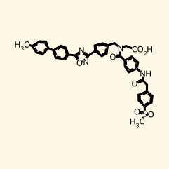 Cc1ccc(-c2ccc(-c3nc(-c4ccc(CN(CC(=O)O)C(=O)c5ccc(NC(=O)Cc6ccc(S(C)(=O)=O)cc6)cc5)cc4)no3)cc2)cc1